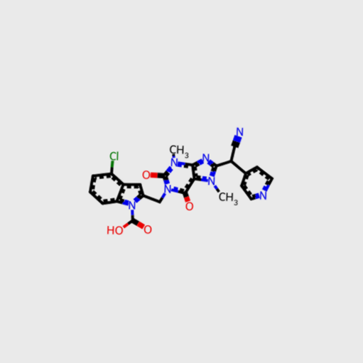 Cn1c(C(C#N)c2ccncc2)nc2c1c(=O)n(Cc1cc3c(Cl)cccc3n1C(=O)O)c(=O)n2C